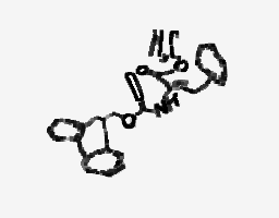 COC(=O)[C@@H](Cc1ccccc1)NC(=O)OCC1c2ccccc2-c2ccccc21